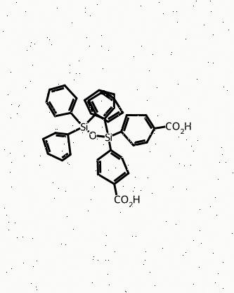 O=C(O)c1ccc([Si](O[Si](c2ccccc2)(c2ccccc2)c2ccccc2)(c2ccccc2)c2ccc(C(=O)O)cc2)cc1